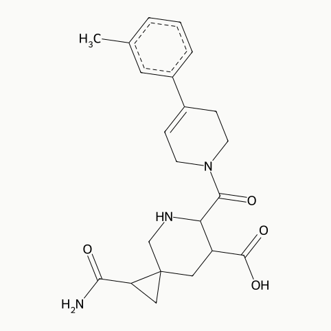 Cc1cccc(C2=CCN(C(=O)C3NCC4(CC3C(=O)O)CC4C(N)=O)CC2)c1